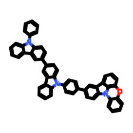 c1ccc(-n2c3ccccc3c3cc(-c4ccc5c(c4)c4ccccc4n5-c4ccc(-c5ccc6c(c5)c5cccc7c5n6-c5ccccc5O7)cc4)ccc32)cc1